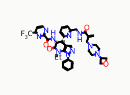 C=C(CN1CCN(C2COC2)CC1)C(=O)NCc1cccc([C@@H]2c3cnn(-c4ccccc4)c3N(CC)C(=O)[C@H]2NC(=O)c2nccc(C(F)(F)F)n2)n1